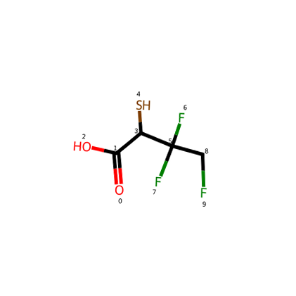 O=C(O)C(S)C(F)(F)CF